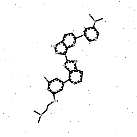 CN(C)CCNc1cc(F)cc(-c2nccc3[nH]c(-c4n[nH]c5ccc(-c6cncc(N(C)C)c6)nc45)nc23)c1